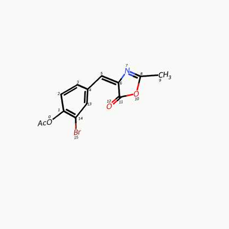 CC(=O)Oc1ccc(C=C2N=C(C)OC2=O)cc1Br